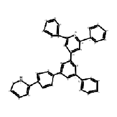 C1=CCNC(c2ccc(-c3cc(-c4ccccc4)cc(-c4cc(-c5ccccc5)nc(-c5ccccc5)c4)c3)cc2)=C1